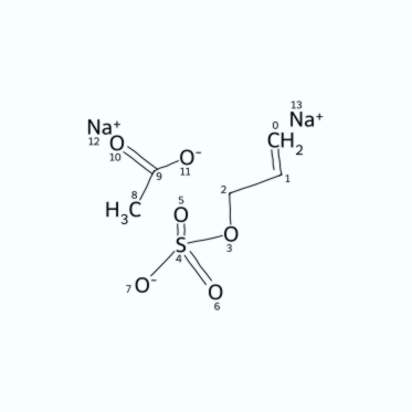 C=CCOS(=O)(=O)[O-].CC(=O)[O-].[Na+].[Na+]